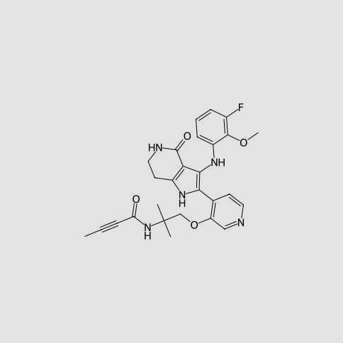 CC#CC(=O)NC(C)(C)COc1cnccc1-c1[nH]c2c(c1Nc1cccc(F)c1OC)C(=O)NCC2